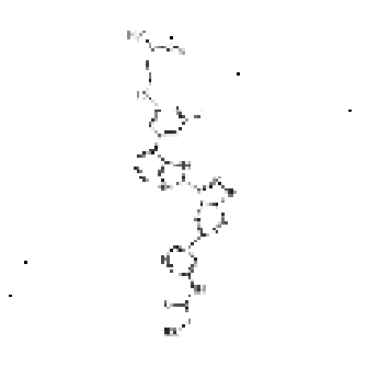 CN(C)CCNc1cc(F)cc(-c2cccc3c2NC(c2n[nH]c4ncc(-c5cncc(NC(=O)CC(C)(C)C)c5)cc24)N3)c1